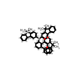 CC1(C)c2ccccc2-c2ccc(N(c3ccc4c(c3)-c3ccccc3[Si]4(C)C)c3cccc(-c4ccccc4)c3-c3cccc4c3-c3ccccc3C4(C)C)cc21